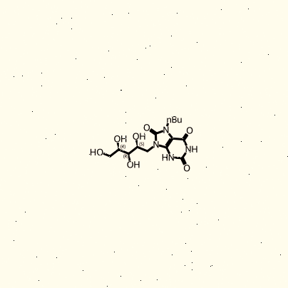 [CH2]CCCn1c(=O)n(C[C@H](O)[C@@H](O)[C@H](O)CO)c2[nH]c(=O)[nH]c(=O)c21